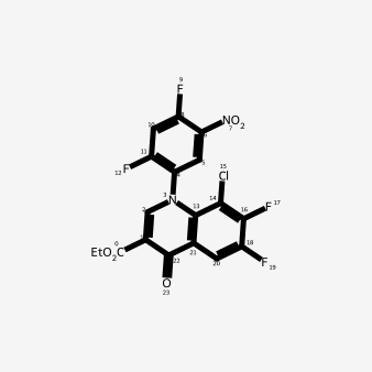 CCOC(=O)c1cn(-c2cc([N+](=O)[O-])c(F)cc2F)c2c(Cl)c(F)c(F)cc2c1=O